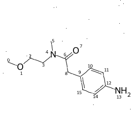 COCCN(C)C(=O)Cc1ccc(N)cc1